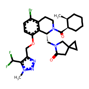 C[C@H]1CCCC[C@H]1C(=O)N1CCc2c(Br)ccc(OCc3nnn(C)c3C(F)F)c2[C@H]1CN1CC2(CC2)CC1=O